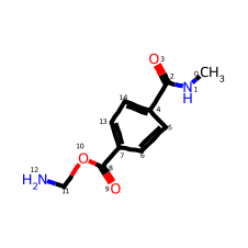 CNC(=O)c1ccc(C(=O)OCN)cc1